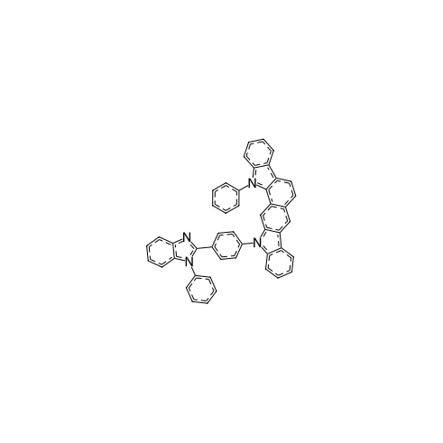 c1ccc(-n2c(-c3ccc(-n4c5ccccc5c5cc6ccc7c8ccccc8n(-c8ccccc8)c7c6cc54)cc3)nc3ccccc32)cc1